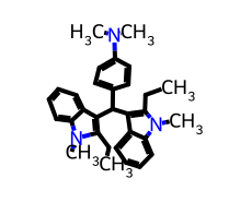 CCc1c(C(c2ccc(N(C)C)cc2)c2c(CC)n(C)c3ccccc23)c2ccccc2n1C